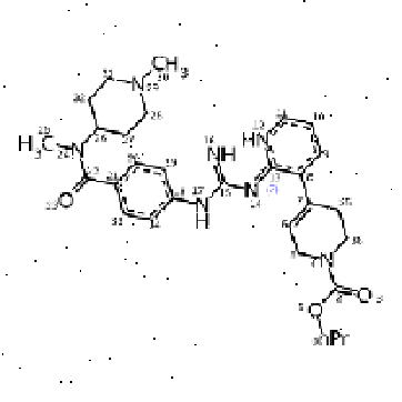 CCCOC(=O)N1CC=C(c2ccc[nH]/c2=N\C(=N)Nc2ccc(C(=O)N(C)C3CCN(C)CC3)cc2)CC1